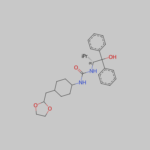 CC(C)[C@@H](NC(=O)NC1CCC(CC2OCCO2)CC1)C(O)(c1ccccc1)c1ccccc1